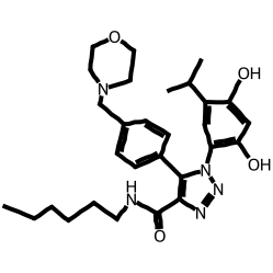 CCCCCCNC(=O)c1nnn(-c2cc(C(C)C)c(O)cc2O)c1-c1ccc(CN2CCOCC2)cc1